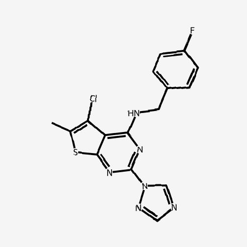 Cc1sc2nc(-n3cncn3)nc(NCc3ccc(F)cc3)c2c1Cl